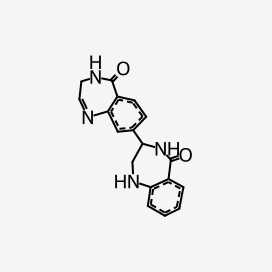 O=C1NCC=Nc2cc(C3CNc4ccccc4C(=O)N3)ccc21